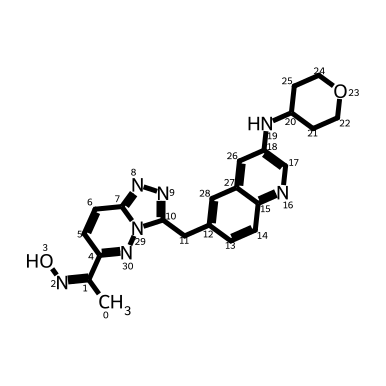 C/C(=N/O)c1ccc2nnc(Cc3ccc4ncc(NC5CCOCC5)cc4c3)n2n1